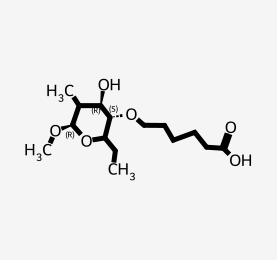 CCC1O[C@@H](OC)C(C)[C@@H](O)[C@@H]1OCCCCCC(=O)O